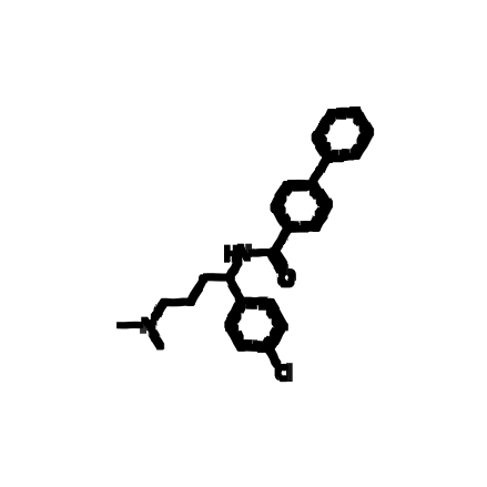 CN(C)CCCC(NC(=O)c1ccc(-c2ccccc2)cc1)c1ccc(Cl)cc1